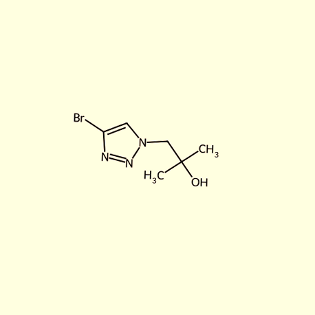 CC(C)(O)Cn1cc(Br)nn1